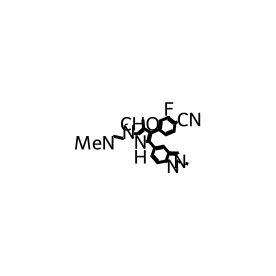 CNCCN(C=O)c1[nH]c(-c2ccc3nn(C)cc3c2)c(-c2ccc(C#N)c(F)c2)c1C